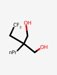 CCCC(CO)(CO)CC(F)(F)F